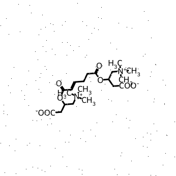 C[N+](C)(C)CC(CC(=O)[O-])OC(=O)C=CCCC(=O)OC(CC(=O)[O-])C[N+](C)(C)C